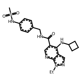 CCn1ncc2c(NC3CCC3)c(C(=O)NCc3ccc(NS(C)(=O)=O)cc3)cnc21